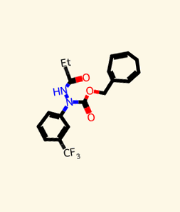 CCC(=O)NN(C(=O)OCC1=CC=CCC=C1)c1cccc(C(F)(F)F)c1